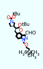 CC(C)(C)OC(=O)[C@@H](Cc1ccc2c(c1)c(C=O)nn2COCC[Si](C)(C)C)[C@H]1CCN(C(=O)OC(C)(C)C)C1